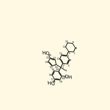 CC(c1ccc(C2CCCCC2)cc1)(c1ccc(O)cc1O)C1C=CC(O)=C1